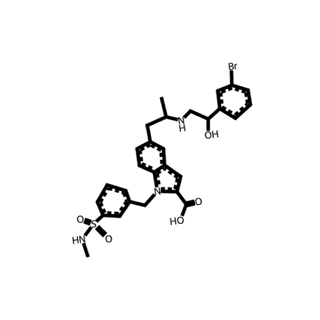 CNS(=O)(=O)c1cccc(Cn2c(C(=O)O)cc3cc(CC(C)NCC(O)c4cccc(Br)c4)ccc32)c1